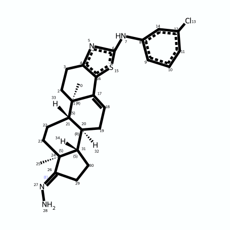 C[C@]12CCc3nc(Nc4cccc(Cl)c4)sc3C1=CC[C@@H]1[C@@H]2CC[C@]2(C)/C(=N/N)CC[C@@H]12